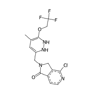 CC1=C(OCC(F)(F)F)NNC(CN2Cc3c(ccnc3Cl)C2=O)=C1